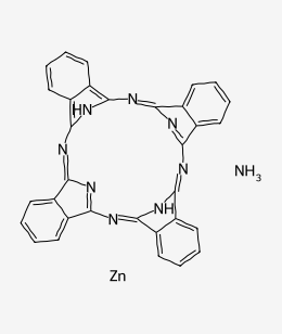 N.[Zn].c1ccc2c(c1)-c1nc-2nc2[nH]c(nc3nc(nc4[nH]c(n1)c1ccccc41)-c1ccccc1-3)c1ccccc21